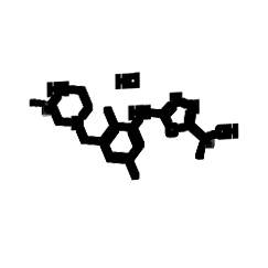 Cc1cc(CN2CCN[C@@H](C)C2)c(C)c(Nc2nnc([C@H](C)O)o2)c1.Cl